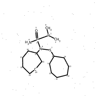 CN(C)P(N)(=O)N(SC1CCCCCC1)C1CCCCCC1